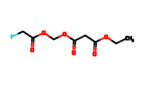 CCOC(=O)CC(=O)OCOC(=O)CF